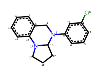 Clc1cccc(N2Cc3ccccc3N3CCCC23)c1